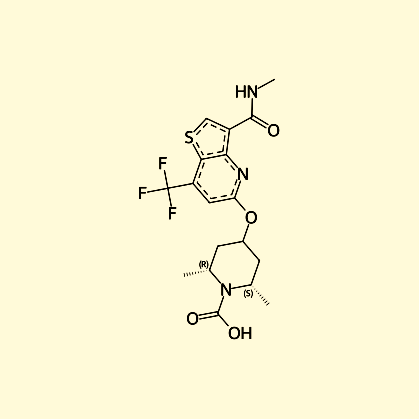 CNC(=O)c1csc2c(C(F)(F)F)cc(OC3C[C@@H](C)N(C(=O)O)[C@@H](C)C3)nc12